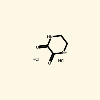 Cl.Cl.O=C1NCCNC1=O